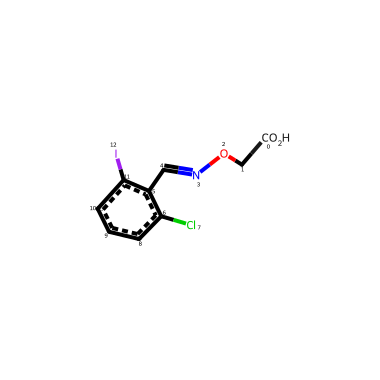 O=C(O)CON=Cc1c(Cl)cccc1I